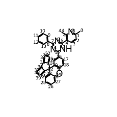 Cc1ccc(C2=NC(c3ccccc3)=NC(c3ccc4c(c3)C3(c5ccccc5O4)c4ccccc4-c4ccccc43)N2)c(C)n1